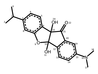 CC(C)c1ccc2c(c1)OC1(O)c3ccc(N(C)C)cc3C(=O)C21O